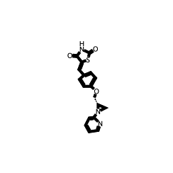 O=C1NC(=O)C(=Cc2ccc(OC[C@@H]3CN3c3ccccn3)cc2)S1